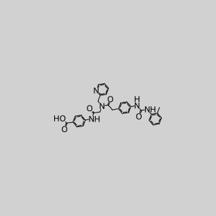 Cc1ccccc1NC(=O)Nc1ccc(CC(=O)N(CC(=O)Nc2ccc(C(=O)O)cc2)Cc2ccccn2)cc1